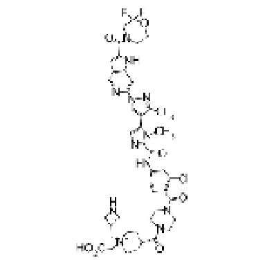 Cn1c(-c2cn(-c3cc4[nH]c(C(=O)N5CCOC(F)(F)C5)cc4cn3)nc2C(F)(F)F)cnc1C(=O)Nc1ccc(C(=O)N2CCN(C(=O)C3CC[N+](CC(=O)O)(CC4CNC4)CC3)CC2)c(Cl)c1